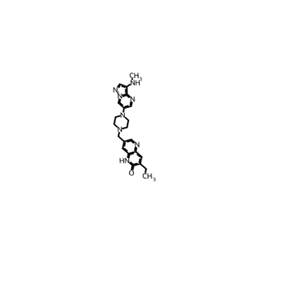 CCc1cc2ncc(CN3CCN(c4cnc5c(NC)cnn5c4)CC3)cc2[nH]c1=O